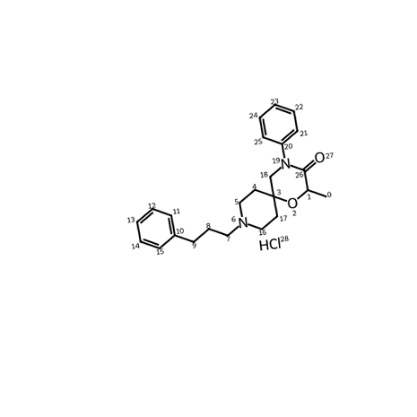 CC1OC2(CCN(CCCc3ccccc3)CC2)CN(c2ccccc2)C1=O.Cl